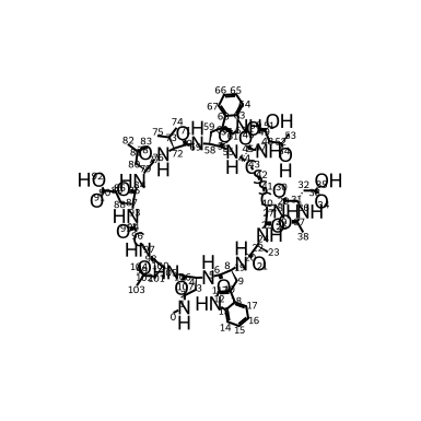 CNCC[C@@H]1NC(=O)[C@H](Cc2c[nH]c3ccccc23)NC(=O)[C@H](C)NC(=O)[C@@H](NC(=O)[C@H](CC(=O)O)NC(C)=O)CSSC[C@@H](C(=O)N[C@H](C(=O)O)[C@@H](C)O)NC(=O)[C@H](Cc2c[nH]c3ccccc23)NC(=O)[C@H](C(C)C)NC(=O)[C@H](CC(C)C)NC(=O)[C@H](CCC(=O)O)NC(=O)CNC(=O)[C@H](CC(C)C)NC1=O